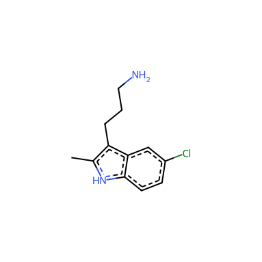 Cc1[nH]c2ccc(Cl)cc2c1CCCN